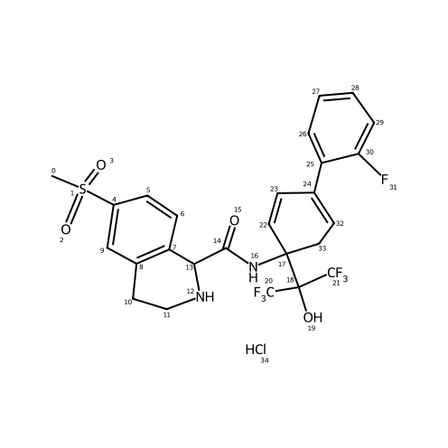 CS(=O)(=O)c1ccc2c(c1)CCNC2C(=O)NC1(C(O)(C(F)(F)F)C(F)(F)F)C=CC(c2ccccc2F)=CC1.Cl